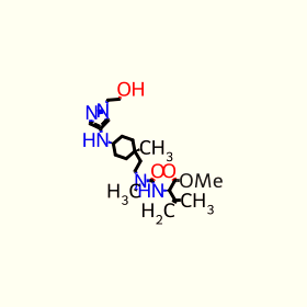 C=C(C)[C@@H](NC(=O)N(C)CC[C@]1(C)CC[C@@H](Nc2cnn(CCO)c2)CC1)C(=O)OC